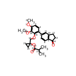 COc1ccc(-c2ccc3c(c2)CCC3=O)c(OCC2(OC(=O)C(C)C)CC2)c1OC